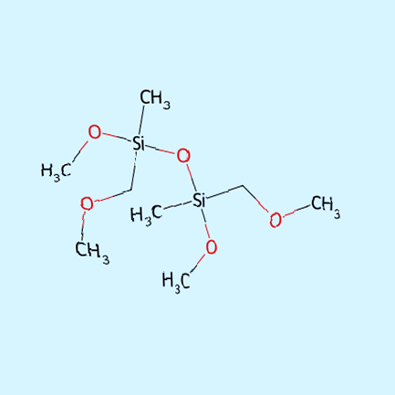 COC[Si](C)(OC)O[Si](C)(COC)OC